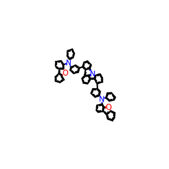 c1ccc(N(c2cccc(-c3cccc4c3c3cccc5c6c(-c7cccc(N(c8ccccc8)c8cccc9c8oc8ccccc89)c7)cccc6n4c35)c2)c2cccc3c2oc2ccccc23)cc1